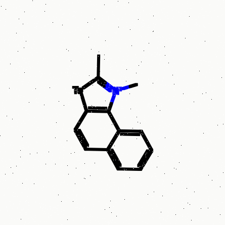 Cc1[te]c2ccc3ccccc3c2[n+]1C